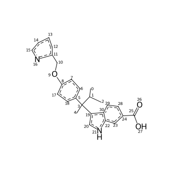 CC(C)C(C)(c1ccc(OCc2ccccn2)cc1)c1c[nH]c2cc(C(=O)O)ccc12